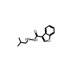 CC(C)CNNC(=O)c1coc2ccccc12